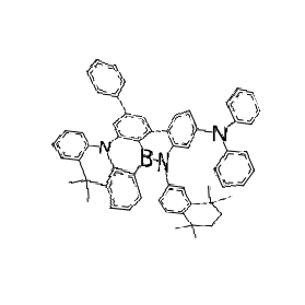 CC1(C)CCC(C)(C)c2cc(N3B4c5cccc6c5N(c5ccccc5C6(C)C)c5cc(-c6ccccc6)cc(c54)-c4ccc(N(c5ccccc5)c5ccccc5)cc43)ccc21